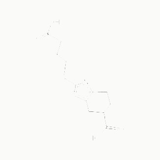 O=C(O)CCCSc1nc2c(s1)CC(C(=O)O)CC2